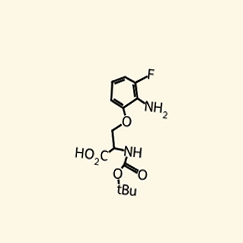 CC(C)(C)OC(=O)NC(COc1cccc(F)c1N)C(=O)O